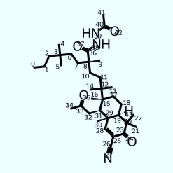 CCCC(C)(C)CC[C@@](C)(CCC(C)(C)[C@]1(C)CC[C@H]2C(C)(C)C(=O)C(C#N)=C[C@]2(C)[C@H]1CC(C)=O)C(=O)NNC(C)=O